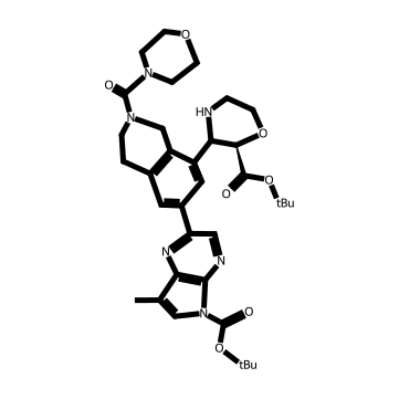 Cc1cn(C(=O)OC(C)(C)C)c2ncc(-c3cc4c(c(C5NCCO[C@H]5C(=O)OC(C)(C)C)c3)CN(C(=O)N3CCOCC3)CC4)nc12